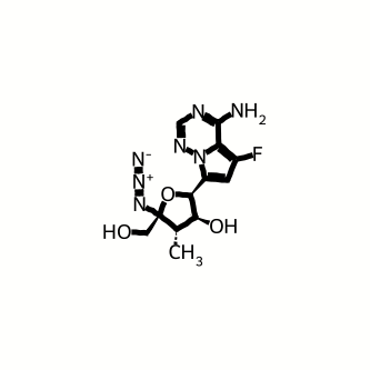 C[C@H]1[C@H](O)[C@H](c2cc(F)c3c(N)ncnn23)O[C@@]1(CO)N=[N+]=[N-]